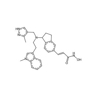 Cc1n[nH]cc1CN(CCc1cn(C)c2ccccc12)C1CCc2cc(/C=C/C(=O)NO)ccc21